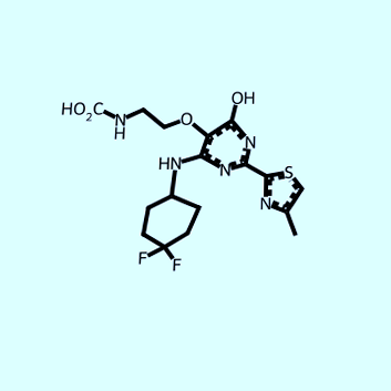 Cc1csc(-c2nc(O)c(OCCNC(=O)O)c(NC3CCC(F)(F)CC3)n2)n1